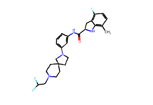 Cc1ccc(F)c2c1NC(C(=O)Nc1cccc(N3CCC4(CCN(CC(F)F)CC4)C3)c1)C2